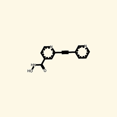 O=C(NO)c1ccnc(C#Cc2cccnc2)c1